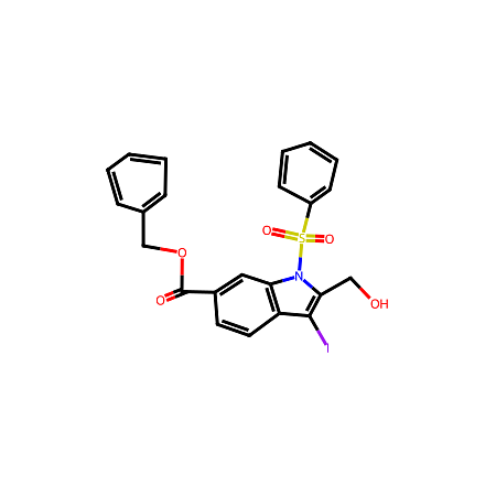 O=C(OCc1ccccc1)c1ccc2c(I)c(CO)n(S(=O)(=O)c3ccccc3)c2c1